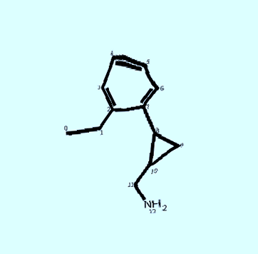 CCc1ccccc1C1CC1CN